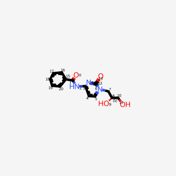 O=C(Nc1ccn(C[C@H](O)CO)c(=O)n1)c1ccccc1